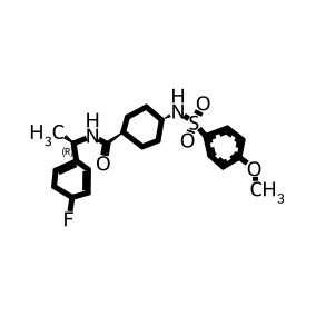 COc1ccc(S(=O)(=O)N[C@H]2CC[C@H](C(=O)N[C@H](C)C3=CCC(F)C=C3)CC2)cc1